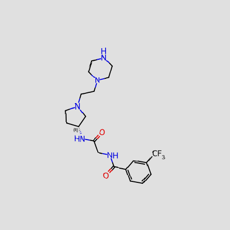 O=C(CNC(=O)c1cccc(C(F)(F)F)c1)N[C@@H]1CCN(CCN2CCNCC2)C1